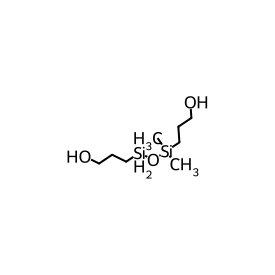 C[Si](C)(CCCO)O[SiH2]CCCO